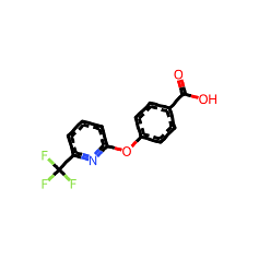 O=C(O)c1ccc(Oc2cccc(C(F)(F)F)n2)cc1